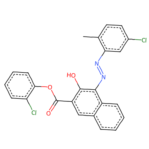 Cc1ccc(Cl)cc1N=Nc1c(O)c(C(=O)Oc2ccccc2Cl)cc2ccccc12